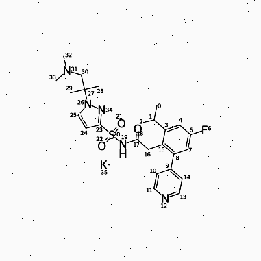 CC(C)c1cc(F)cc(-c2ccncc2)c1CC(=O)NS(=O)(=O)c1ccn(C(C)(C)CN(C)C)n1.[K]